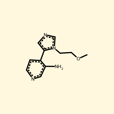 COCCn1cncc1-c1ccncc1N